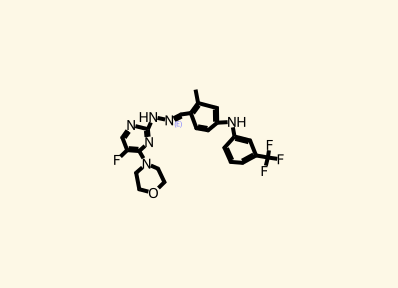 Cc1cc(Nc2cccc(C(F)(F)F)c2)ccc1/C=N/Nc1ncc(F)c(N2CCOCC2)n1